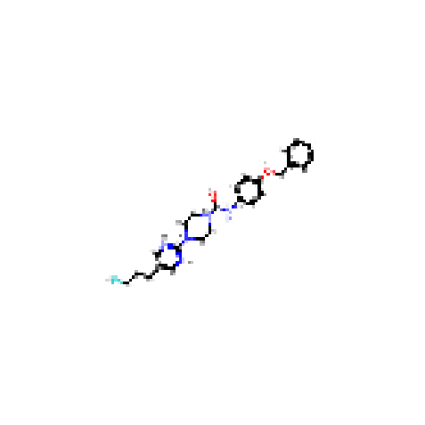 O=C(Nc1ccc(OCc2ccccc2)cc1)N1CCN(c2ncc(CCCF)cn2)CC1